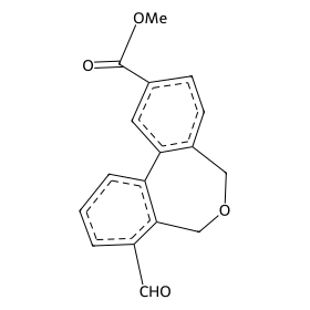 COC(=O)c1ccc2c(c1)-c1cccc(C=O)c1COC2